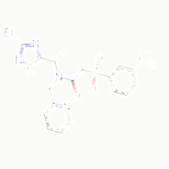 CCc1noc(C(C)N(Cc2ccccn2)C(=O)CS(=O)(=O)c2cccc(C(F)(F)F)c2)n1